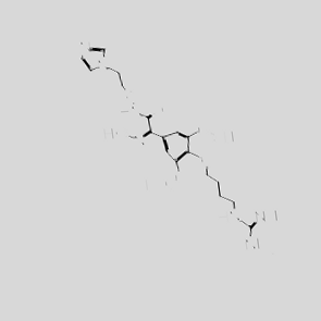 COc1cc(C(=NO)C(=O)NCCCn2ccnc2)cc(OC)c1OCCCCNC(=N)N